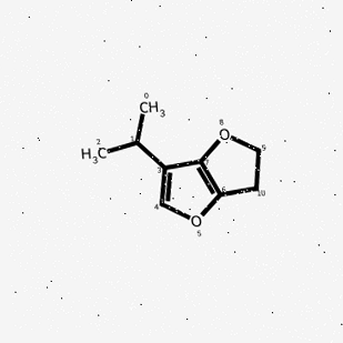 CC(C)c1coc2c1OCC2